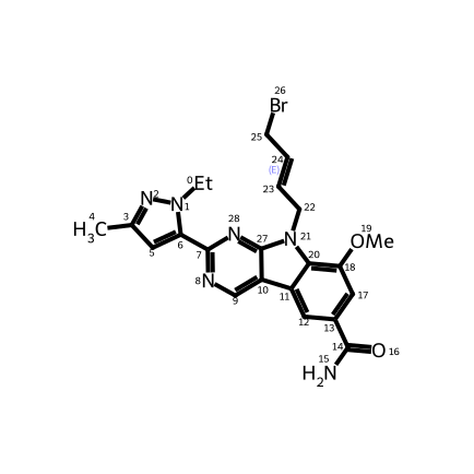 CCn1nc(C)cc1-c1ncc2c3cc(C(N)=O)cc(OC)c3n(C/C=C/CBr)c2n1